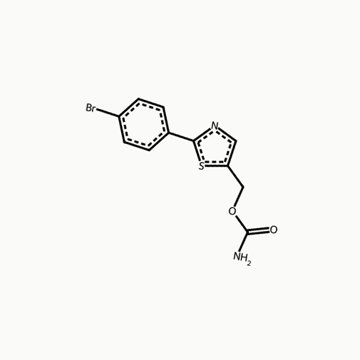 NC(=O)OCc1cnc(-c2ccc(Br)cc2)s1